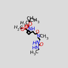 CCNC(=O)NCCN(C)C(=O)CCC1CC[C@@]1(NC(=O)OC(C)(C)C)C(=O)OC